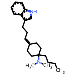 CCCCC1(N(C)C)CCC(=CCCc2c[nH]c3ccccc23)CC1